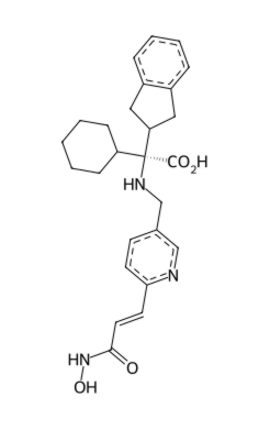 O=C(C=Cc1ccc(CN[C@@](C(=O)O)(C2CCCCC2)C2Cc3ccccc3C2)cn1)NO